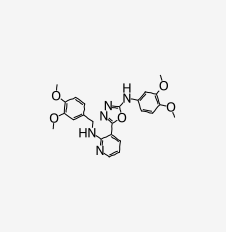 COc1ccc(CNc2ncccc2-c2nnc(Nc3ccc(OC)c(OC)c3)o2)cc1OC